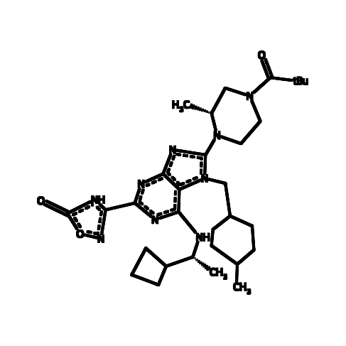 CC1CCC(Cn2c(N3CCN(C(=O)C(C)(C)C)C[C@H]3C)nc3nc(-c4noc(=O)[nH]4)nc(N[C@H](C)C4CCC4)c32)CC1